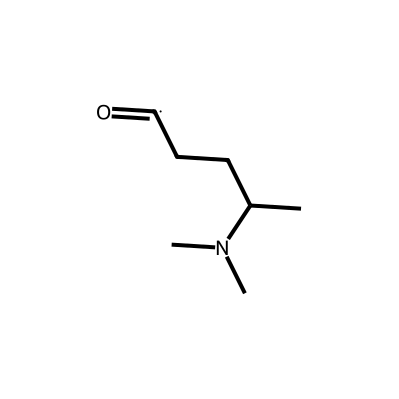 CC(CC[C]=O)N(C)C